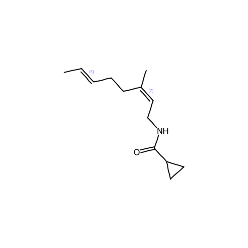 C/C=C/CC/C(C)=C\CNC(=O)C1CC1